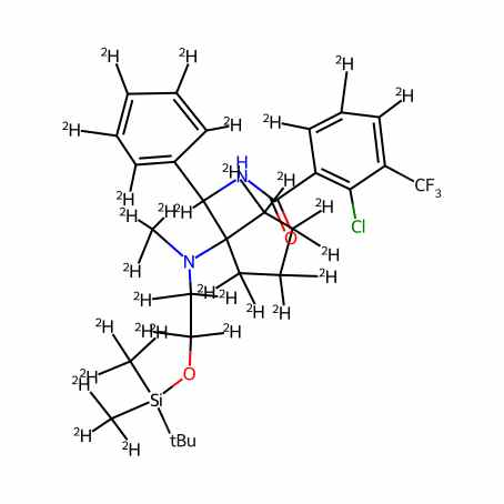 [2H]c1c([2H])c([2H])c(C([2H])(NC(=O)c2c([2H])c([2H])c([2H])c(C(F)(F)F)c2Cl)C2(N(C([2H])([2H])[2H])C([2H])([2H])C([2H])([2H])O[Si](C([2H])([2H])[2H])(C([2H])([2H])[2H])C(C)(C)C)C([2H])([2H])C([2H])([2H])C([2H])([2H])C2([2H])[2H])c([2H])c1[2H]